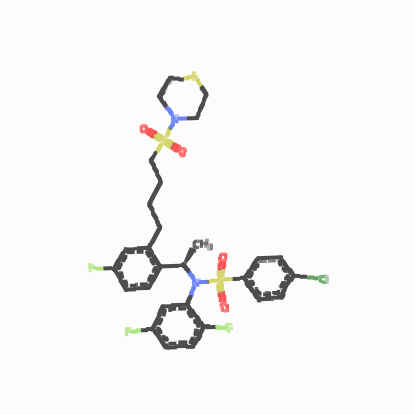 C[C@H](c1ccc(F)cc1CCCCS(=O)(=O)N1CCSCC1)N(c1cc(F)ccc1F)S(=O)(=O)c1ccc(Cl)cc1